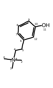 C[N+](C)(C)CCc1cccc(O)c1